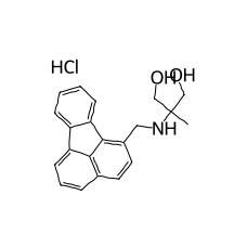 CC(CO)(CO)NCc1ccc2cccc3c2c1-c1ccccc1-3.Cl